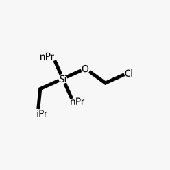 CCC[Si](CCC)(CC(C)C)OCCl